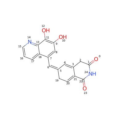 O=C1CC2=CC(=Cc3cc(O)c(O)c4ncccc34)CC=C2C(=O)N1